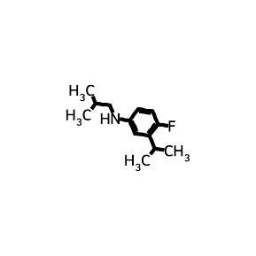 CC(C)CNc1ccc(F)c(C(C)C)c1